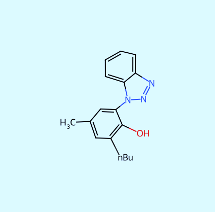 CCCCc1cc(C)cc(-n2nnc3ccccc32)c1O